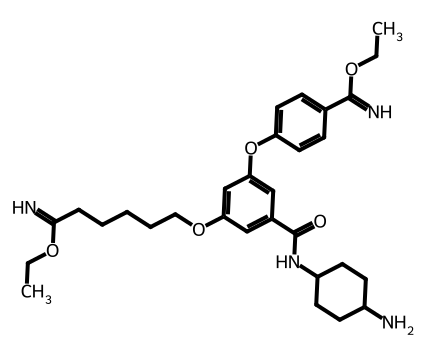 CCOC(=N)CCCCCOc1cc(Oc2ccc(C(=N)OCC)cc2)cc(C(=O)NC2CCC(N)CC2)c1